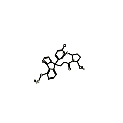 COc1cccc2c1-c1nccn1C2(CCC(=O)N1C(C)CCC1C)c1ccc(Cl)cc1